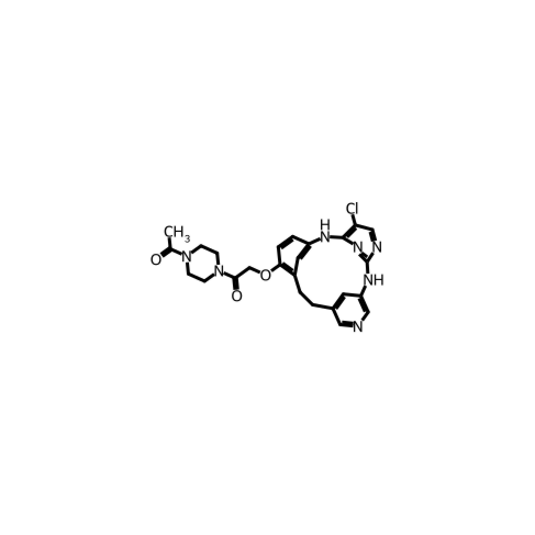 CC(=O)N1CCN(C(=O)COc2ccc3cc2CCc2cncc(c2)Nc2ncc(Cl)c(n2)N3)CC1